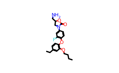 CCCCOc1cc(CC)ccc1Oc1ccc(N2CC(CN)OC2=O)cc1F